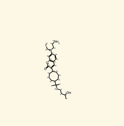 CC(O)CCOC(C)(C)C1CCCC(c2cc3ccc(N(CF)CCN)cc3oc2=O)CCC1